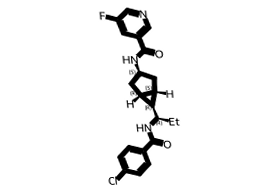 CC[C@@H](NC(=O)c1ccc(Cl)cc1)[C@H]1[C@@H]2C[C@@H](NC(=O)c3cncc(F)c3)C[C@@H]21